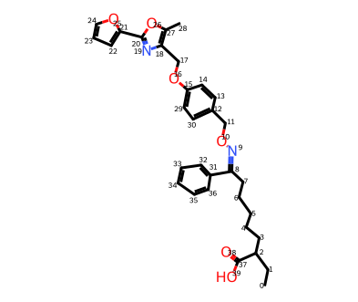 CCC(CCCCCC(=NOCc1ccc(OCc2nc(-c3ccco3)oc2C)cc1)c1ccccc1)C(=O)O